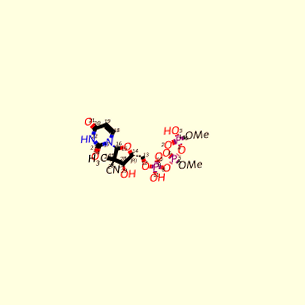 COP(=O)(O)OP(=O)(OC)OP(=O)(O)OC[C@H]1O[C@@H](n2ccc(=O)[nH]c2=O)[C@](C)(C#N)[C@@H]1O